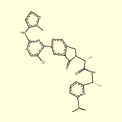 C[C@H](C(=O)N[C@H](C)c1cccc(N(C)C)n1)N1Cc2ccc(-c3nc(Nc4ccnn4C)ncc3Cl)cc2C1=O